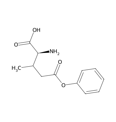 CC(CC(=O)Oc1ccccc1)[C@H](N)C(=O)O